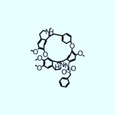 COc1cc2c3cc1Oc1c(OC)c(OC)cc4c1[C@@H]1Cc5cc(c(OC)cc5N(S(=O)(=O)Cc5ccccc5)N1CC4)OC1C=CC(=CC1)C[C@H]3N(C)CC2